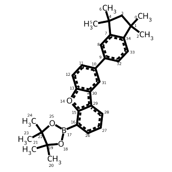 CC1(C)CC(C)(C)c2cc(-c3ccc4oc5c(B6OC(C)(C)C(C)(C)O6)cccc5c4c3)ccc21